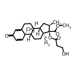 COC(=O)[C@@]1(OC(=O)CCO)[C@H](C)C[C@H]2[C@@H]3CCC4=CC(=O)C=C[C@]4(C)[C@H]3CC[C@@]21C